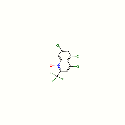 [O-][n+]1c(C(F)(F)F)cc(Cl)c2c(Cl)cc(Cl)cc21